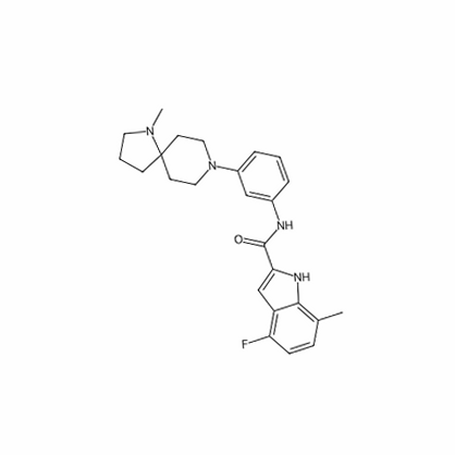 Cc1ccc(F)c2cc(C(=O)Nc3cccc(N4CCC5(CCCN5C)CC4)c3)[nH]c12